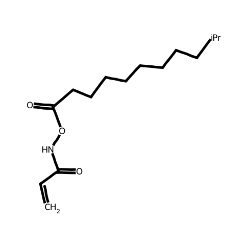 C=CC(=O)NOC(=O)CCCCCCCCC(C)C